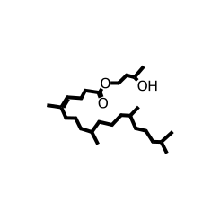 CC(=CCCC(=O)OCCC(C)O)CCCC(C)CCCC(C)CCCC(C)C